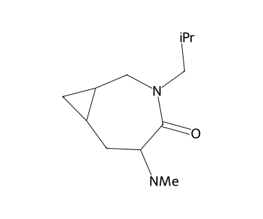 CNC1CC2CC2CN(CC(C)C)C1=O